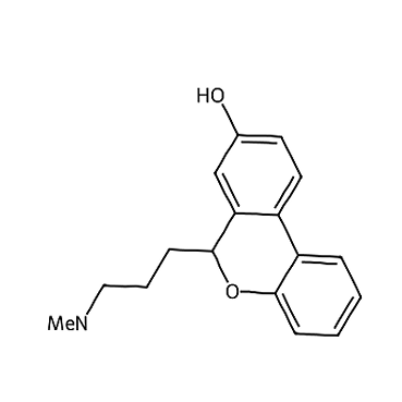 CNCCCC1Oc2ccccc2-c2ccc(O)cc21